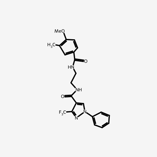 COc1ccc(C(=O)NCCNC(=O)c2cn(-c3ccccc3)nc2C(F)(F)F)cc1C